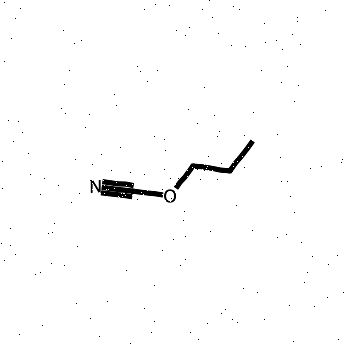 CCCOC#N